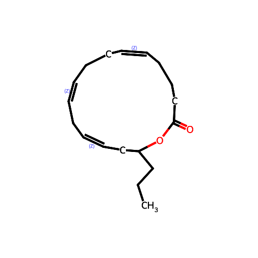 CCCC1C/C=C\C/C=C\CC/C=C\CCCC(=O)O1